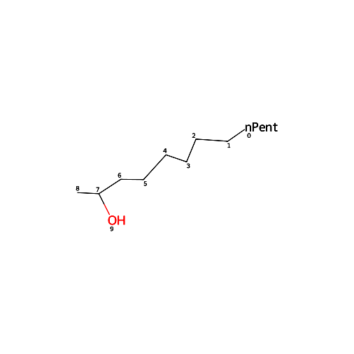 [CH2]CCCCCCCCCCC(C)O